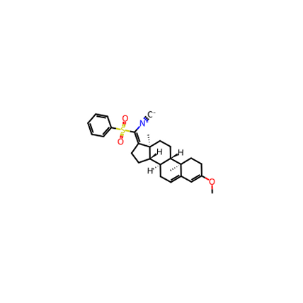 [C-]#[N+]C(=C1CC[C@H]2[C@@H]3CC=C4C=C(OC)CC[C@]4(C)[C@H]3CC[C@]12C)S(=O)(=O)c1ccccc1